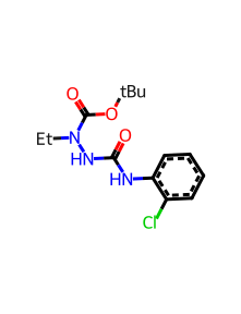 CCN(NC(=O)Nc1ccccc1Cl)C(=O)OC(C)(C)C